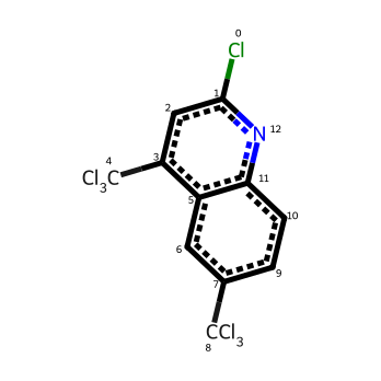 Clc1cc(C(Cl)(Cl)Cl)c2cc(C(Cl)(Cl)Cl)ccc2n1